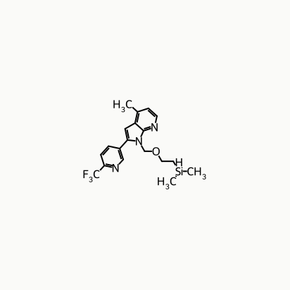 Cc1ccnc2c1cc(-c1ccc(C(F)(F)F)nc1)n2COCC[SiH](C)C